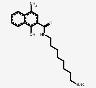 CCCCCCCCCCCCCCCCCCNC(=O)c1cc(N)c2ccccc2c1O